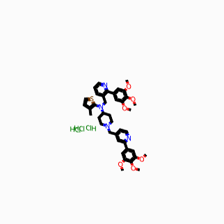 COc1cc(-c2cc(CN3CCC(N(Cc4cccnc4-c4cc(OC)c(OC)c(OC)c4)c4sccc4C)CC3)ccn2)cc(OC)c1OC.Cl.Cl.Cl